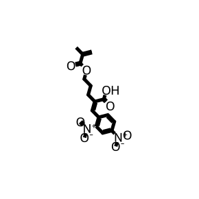 C=C(C)C(=O)OCCCC(=Cc1ccc([N+](=O)[O-])cc1[N+](=O)[O-])C(=O)O